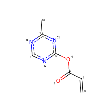 C=CC(=O)Oc1ncnc(C)n1